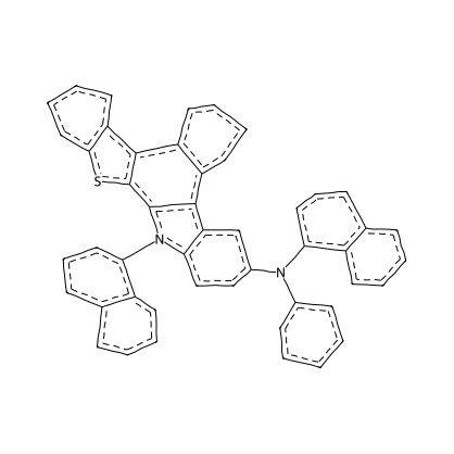 c1ccc(N(c2ccc3c(c2)c2c4ccccc4c4c5ccccc5sc4c2n3-c2cccc3ccccc23)c2cccc3ccccc23)cc1